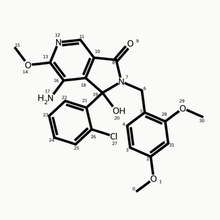 COc1ccc(CN2C(=O)c3cnc(OC)c(N)c3C2(O)c2ccccc2Cl)c(OC)c1